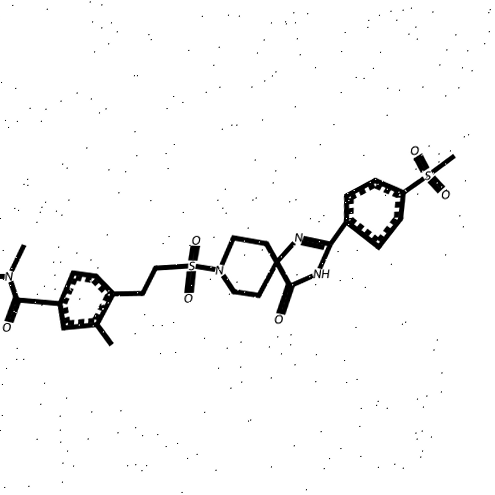 Cc1cc(C(=O)N(C)C)ccc1CCS(=O)(=O)N1CCC2(CC1)N=C(c1ccc(S(C)(=O)=O)cc1)NC2=O